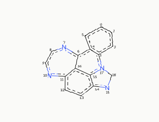 c1ccc2c(c1)c1nccnc3ccc4c(c3-1)n2CN=4